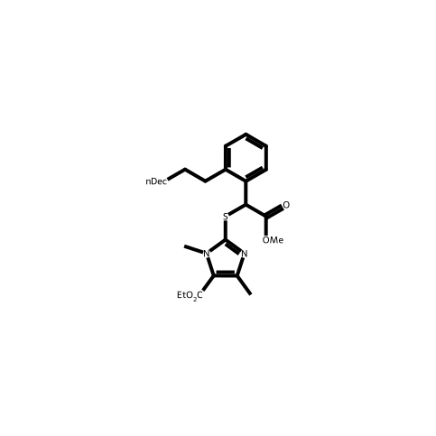 CCCCCCCCCCCCc1ccccc1C(Sc1nc(C)c(C(=O)OCC)n1C)C(=O)OC